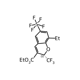 CCOC(=O)C1=Cc2cc(S(F)(F)(F)(F)F)cc(CC)c2O[C@@H]1C(F)(F)F